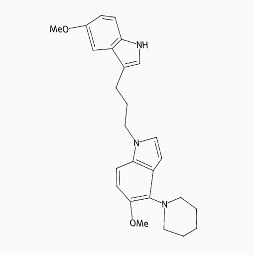 COc1ccc2[nH]cc(CCCn3ccc4c(N5CCCCC5)c(OC)ccc43)c2c1